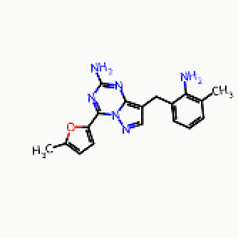 Cc1ccc(-c2nc(N)nc3c(Cc4cccc(C)c4N)cnn23)o1